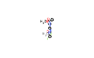 CCOC(=O)C(c1ccccc1)N1CCN(c2ccc(-n3ccn(C(C)c4cc(F)ccc4F)c3=O)cc2)CC1